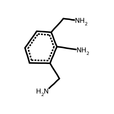 NCc1cccc(CN)c1N